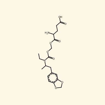 CCN(C(=O)OCOC(=O)C(N)CCC(=O)O)C(C)Cc1ccc2c(c1)OCO2